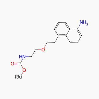 CC(C)(C)OC(=O)NCCOCCc1cccc2c(N)cccc12